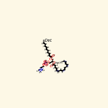 CCCCC/C=C\C/C=C\C/C=C\C/C=C\CCCC(=O)O[C@H](COC(=O)CCCCCCCCCCCCCCCCCCC)COP(=O)([O-])OCC[N+](C)(C)C